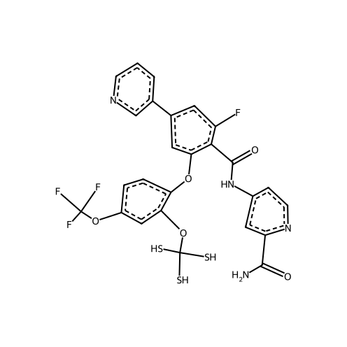 NC(=O)c1cc(NC(=O)c2c(F)cc(-c3cccnc3)cc2Oc2ccc(OC(F)(F)F)cc2OC(S)(S)S)ccn1